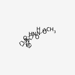 Cc1ccc(CNC(=O)Nc2ccc(N[S+]([O-])c3ccccc3-c3ccccc3)cc2)o1